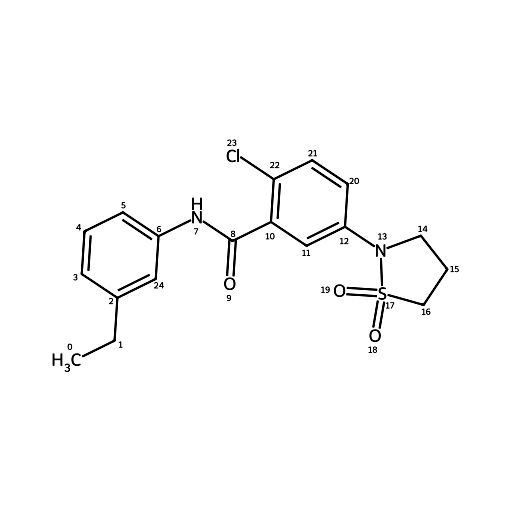 CCc1cccc(NC(=O)c2cc(N3CCCS3(=O)=O)ccc2Cl)c1